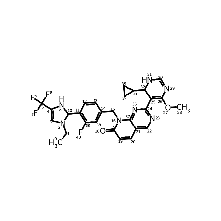 CCN1C=C(C(F)(F)F)NC1c1ccc(Cn2c(=O)ccc3cnc(C4=C(OC)N=CNC4C4CC4)nc32)cc1F